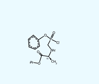 CC(C)OC(=O)[C@H](C)NCP(=O)(Cl)Oc1ccccc1